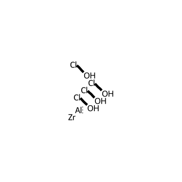 OCl.OCl.OCl.OCl.[Al].[Zr]